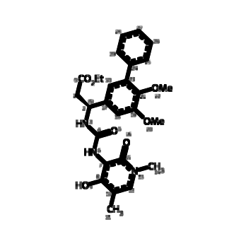 CCOC(=O)C[C@H](NC(=O)Nc1c(O)c(C)cn(C)c1=O)c1cc(OC)c(OC)c(-c2ccccc2)c1